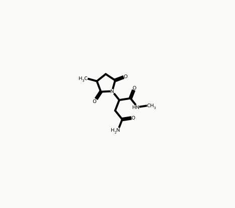 CNC(=O)C(CC(N)=O)N1C(=O)CC(C)C1=O